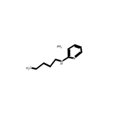 CCCCCNc1ccccn1.P